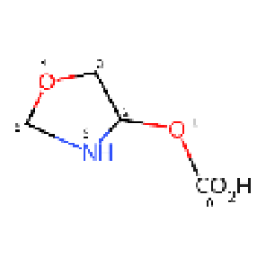 O=C(O)OC1COCN1